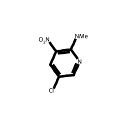 CNc1ncc(Cl)cc1[N+](=O)[O-]